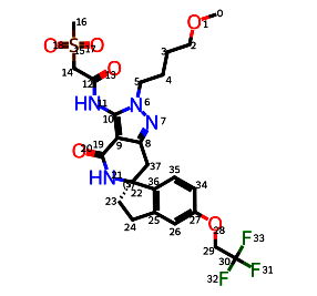 COCCCCn1nc2c(c1NC(=O)CS(C)(=O)=O)C(=O)N[C@@]1(CCc3cc(OCC(F)(F)F)ccc31)C2